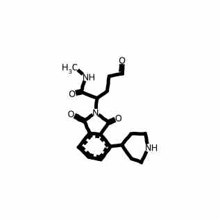 CNC(=O)C(CCC=O)N1C(=O)c2cccc(C3CCNCC3)c2C1=O